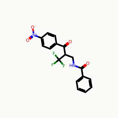 O=C(NCC(C(=O)c1ccc([N+](=O)[O-])cc1)C(F)(F)F)c1ccccc1